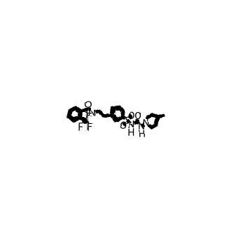 CC1CCN(NC(=O)NS(=O)(=O)c2cccc(CCNC(=O)c3ccccc3C(F)(F)F)c2)CC1